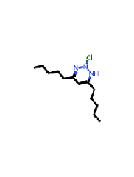 CCCCCC1=CC(CCCCC)=NN(Cl)N1